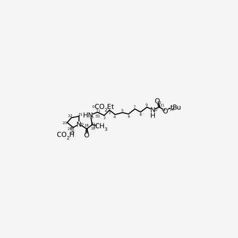 CCOC(=O)[C@H](CCCCCCCCNC(=O)OC(C)(C)C)N[C@@H](C)C(=O)N1CCC[C@H]1C(=O)O